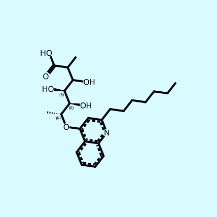 CCCCCCCc1cc(O[C@H](C)[C@H](O)[C@@H](O)C(O)C(C)C(=O)O)c2ccccc2n1